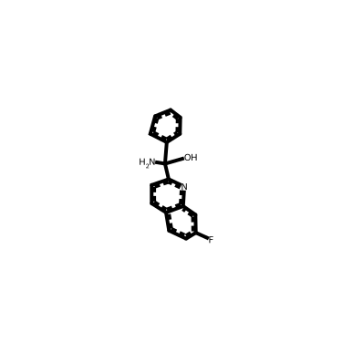 NC(O)(c1ccccc1)c1ccc2ccc(F)cc2n1